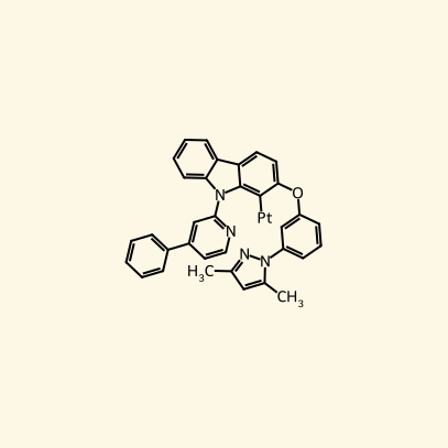 Cc1cc(C)n(-c2cccc(Oc3ccc4c5ccccc5n(-c5cc(-c6ccccc6)ccn5)c4[c]3[Pt])c2)n1